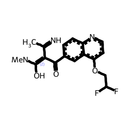 CN/C(O)=C(\C(C)=N)C(=O)c1ccc2nccc(OCC(F)F)c2c1